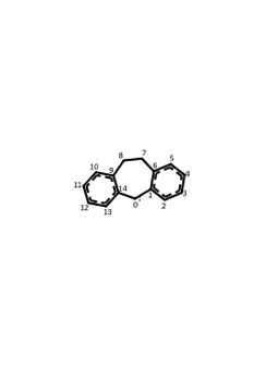 [C]1c2ccccc2CCc2ccccc21